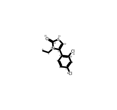 CCn1c(-c2ccc(Cl)cc2Cl)csc1=O